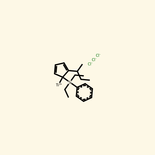 CCC(C)C1=CC=C[C]1([Ti+3])[Si](CC)(CC)c1ccccc1.[Cl-].[Cl-].[Cl-]